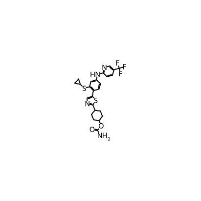 NC(=O)OC1CCC(c2ncc(-c3ccc(Nc4ccc(C(F)(F)F)cn4)cc3SC3CC3)s2)CC1